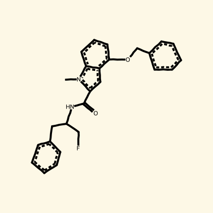 Cn1c(C(=O)NC(CF)Cc2ccccc2)cc2c(OCc3ccccc3)cccc21